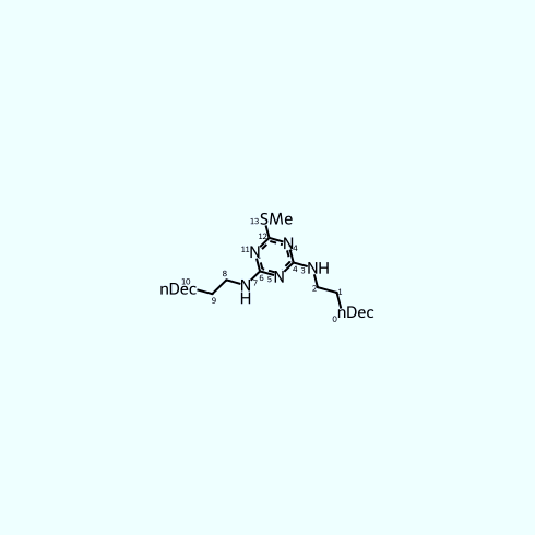 CCCCCCCCCCCCNc1nc(NCCCCCCCCCCCC)nc(SC)n1